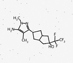 Cc1c(C2CC3CC(O)(C(F)(F)C(F)(F)F)CC3C2)nn(C)c1N